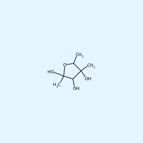 CC1OC(C)(O)C(O)C1(C)O